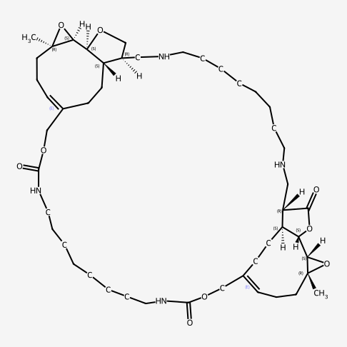 C[C@@]12CC/C=C3\CC[C@@H]4[C@H](OC(=O)[C@H]4CNCCCCCCCCNC[C@@H]4CO[C@H]5[C@H]4CC/C(=C\CC[C@@]4(C)O[C@@H]54)COC(=O)NCCCCCCCCNC(=O)OC3)[C@@H]1O2